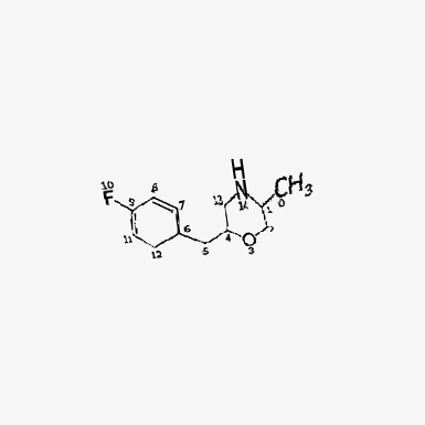 CC1COC(CC2C=CC(F)=CC2)CN1